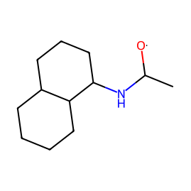 CC([O])NC1CCCC2CCCCC21